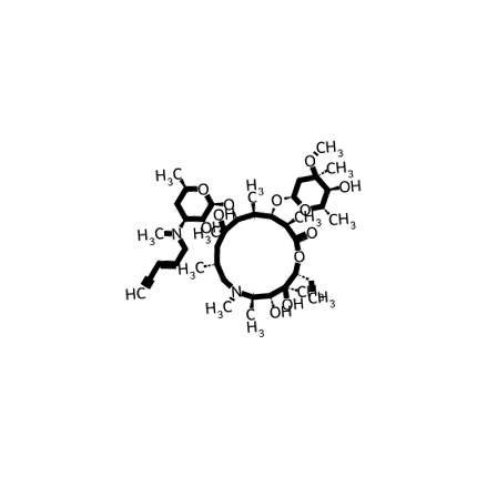 C#C/C=C/CN(C)[C@H]1C[C@@H](C)O[C@@H](O[C@@H]2[C@@H](C)[C@H](O[C@@H]3C[C@@](C)(OC)[C@@H](O)[C@H](C)O3)[C@@H](C)C(=O)O[C@H](CC)[C@@](C)(O)[C@H](O)[C@@H](C)N(C)C[C@H](C)C[C@@]2(C)O)[C@@H]1O